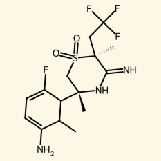 CC1C(N)=CC=C(F)C1[C@]1(C)CS(=O)(=O)[C@@](C)(CC(F)(F)F)C(=N)N1